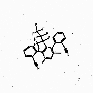 N#Cc1ccccc1-c1c(I)[c]c(I)c(-c2ccccc2C#N)c1C(F)(C(F)(F)F)C(F)(F)C(F)(F)F